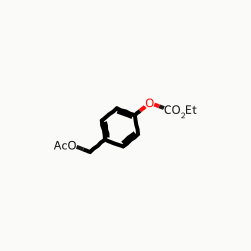 CCOC(=O)Oc1ccc(COC(C)=O)cc1